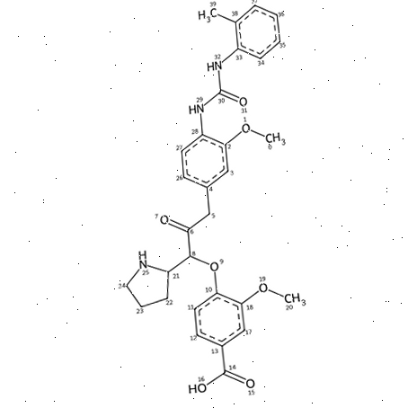 COc1cc(CC(=O)C(Oc2ccc(C(=O)O)cc2OC)C2CCCN2)ccc1NC(=O)Nc1ccccc1C